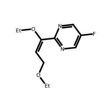 CCOC/C=C(/OCC)c1ncc(F)cn1